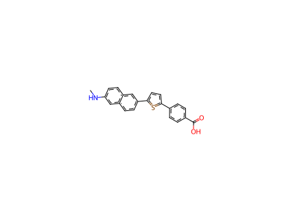 CNc1ccc2cc(-c3ccc(-c4ccc(C(=O)O)cc4)s3)ccc2c1